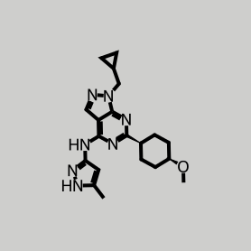 CO[C@H]1CC[C@@H](c2nc(Nc3cc(C)[nH]n3)c3cnn(CC4CC4)c3n2)CC1